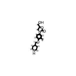 O=C1OC(CO)CN1c1ccc(OCC2CCNCC2)c(F)c1